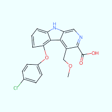 COCc1c(C(=O)O)ncc2[nH]c3cccc(Oc4ccc(Cl)cc4)c3c12